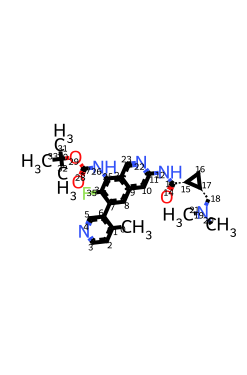 Cc1ccncc1-c1cc2cc(NC(=O)[C@@H]3C[C@@H]3CN(C)C)ncc2c(NC(=O)OC(C)(C)C)c1F